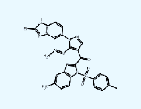 CCc1nc2cc(-n3ncc(C(=O)c4cc5cc(C(F)(F)F)ccc5n4S(=O)(=O)c4ccc(C)cc4)c3N=NN)ccc2[nH]1